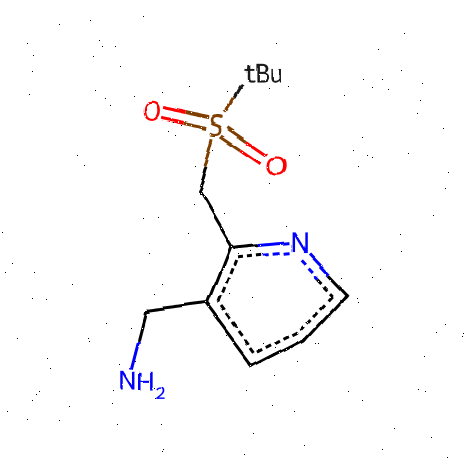 CC(C)(C)S(=O)(=O)Cc1ncccc1CN